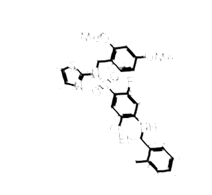 CC[C@H](Nc1cc(F)c(S(=O)(=O)N(Cc2ccc(OC)cc2OC)c2nccs2)cc1Cl)c1ccccc1C